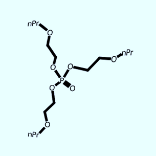 CCCOCCOP(=O)(OCCOCCC)OCCOCCC